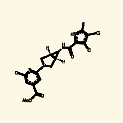 COC(=O)c1cc(Cl)nc(N2C[C@@H]3[C@H](C2)[C@H]3NC(=O)c2[nH]c(C)c(Cl)c2Cl)c1